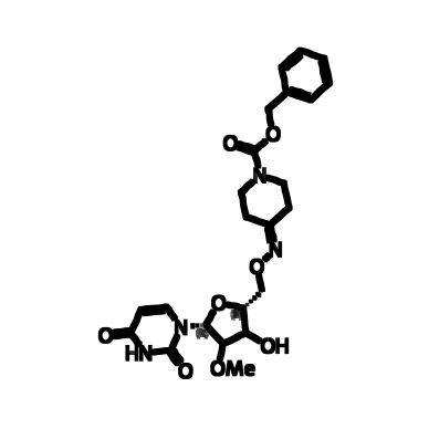 COC1C(O)[C@@H](CON=C2CCN(C(=O)OCc3ccccc3)CC2)O[C@H]1n1ccc(=O)[nH]c1=O